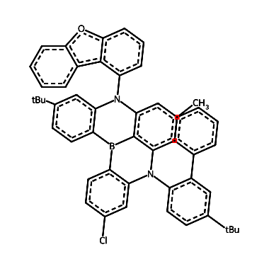 Cc1cc2c3c(c1)N(c1cccc4oc5ccccc5c14)c1cc(C(C)(C)C)ccc1B3c1ccc(Cl)cc1N2c1ccc(C(C)(C)C)cc1-c1ccccc1